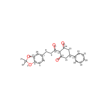 CC1(C)Oc2ccc(CCC(=O)C3C(=O)CC(c4ccccc4)CC3=O)cc2O1